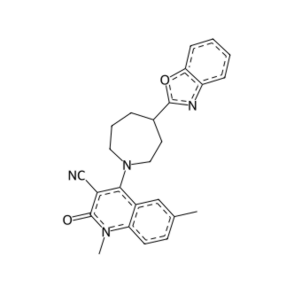 Cc1ccc2c(c1)c(N1CCCC(c3nc4ccccc4o3)CC1)c(C#N)c(=O)n2C